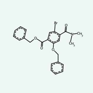 CN(C)C(=O)c1cc(OCc2ccccc2)c(C(=O)OCc2ccccc2)cc1Br